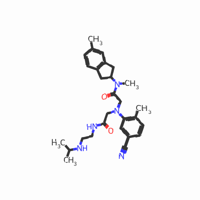 Cc1ccc2c(c1)CC(N(C)C(=O)CN(CC(=O)NCCNC(C)C)c1cc(C#N)ccc1C)C2